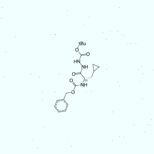 CC(C)(C)OC(=O)NNC(=O)[C@H](CC1CC1)NC(=O)OCc1ccccc1